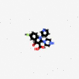 O=C(O)c1c(N2CCNCC2)n(-c2cccnc2)c2ccc(F)cc2c1=O